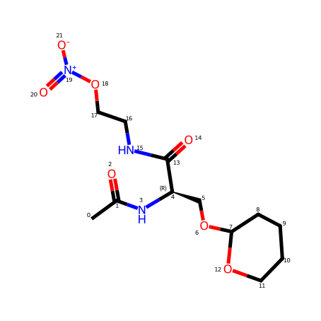 CC(=O)N[C@H](COC1CCCCO1)C(=O)NCCO[N+](=O)[O-]